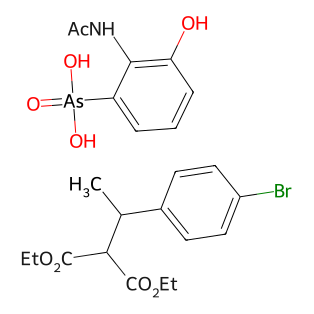 CC(=O)Nc1c(O)cccc1[As](=O)(O)O.CCOC(=O)C(C(=O)OCC)C(C)c1ccc(Br)cc1